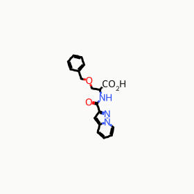 O=C(NC(COCc1ccccc1)C(=O)O)c1cc2ccccn2n1